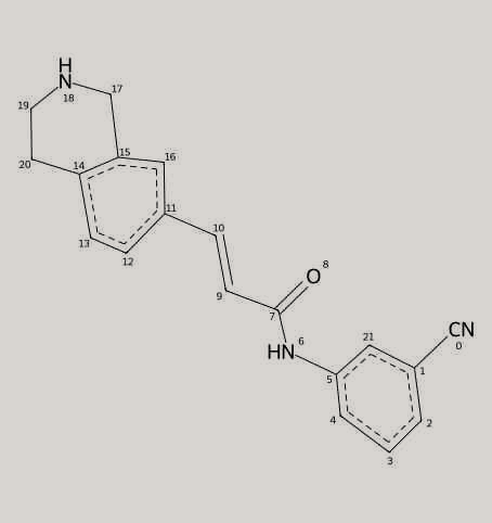 N#Cc1cccc(NC(=O)C=Cc2ccc3c(c2)CNCC3)c1